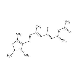 CC(=CC(N)=O)C=C(F)C=C(C)C=Cc1c(C)sc(C)c1C